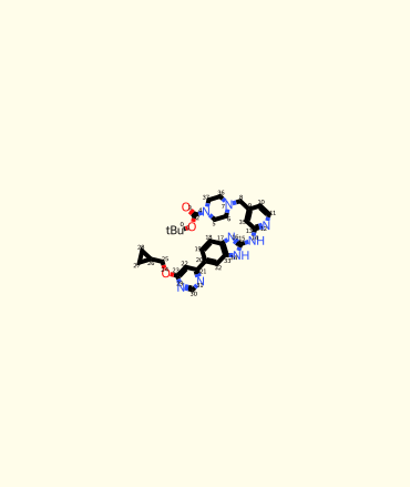 CC(C)(C)OC(=O)N1CCN(Cc2ccnc(Nc3nc4ccc(-c5cc(OCC6CC6)ncn5)cc4[nH]3)c2)CC1